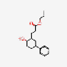 C=CCOC(=O)CCC1CC(c2ccccc2)CCC1O